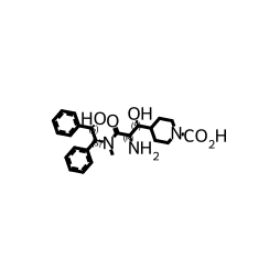 CN(C(=O)[C@H](N)[C@@H](O)C1CCN(C(=O)O)CC1)[C@@H](c1ccccc1)[C@@H](O)c1ccccc1